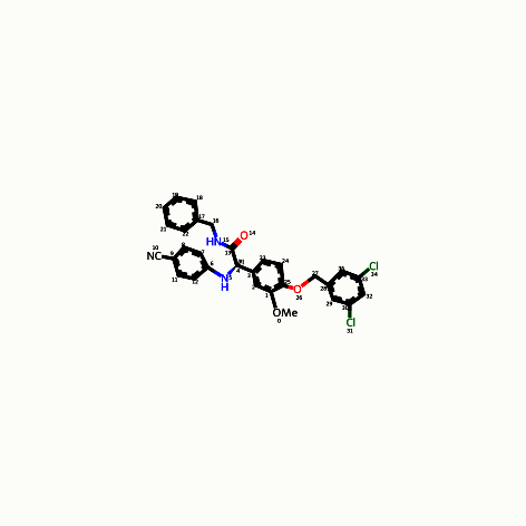 COc1cc([C@@H](Nc2ccc(C#N)cc2)C(=O)NCc2ccccc2)ccc1OCc1cc(Cl)cc(Cl)c1